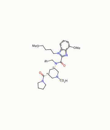 COCCCCn1c(C(=O)N(CC(C)C)[C@H]2C[C@@H](C(=O)N3CCCC3)CN(C(=O)O)C2)nc2c(OC)cccc21